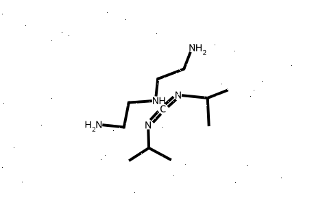 CC(C)N=C=NC(C)C.NCCNCCN